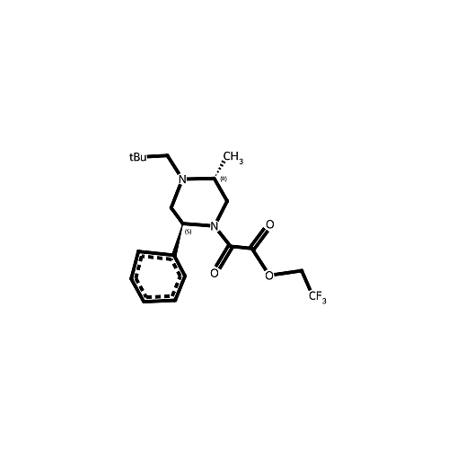 C[C@@H]1CN(C(=O)C(=O)OCC(F)(F)F)[C@@H](c2ccccc2)CN1CC(C)(C)C